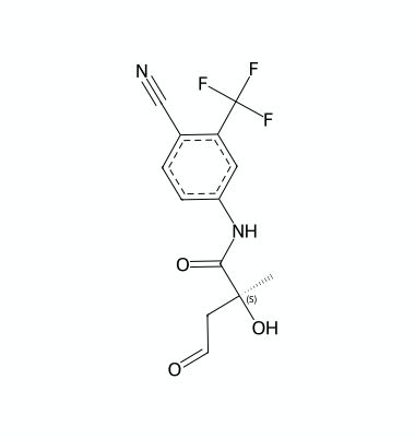 C[C@](O)(CC=O)C(=O)Nc1ccc(C#N)c(C(F)(F)F)c1